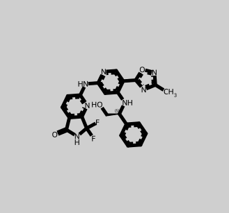 Cc1noc(-c2cnc(Nc3ccc4c(n3)C(F)(F)NC4=O)cc2N[C@H](CO)c2ccccc2)n1